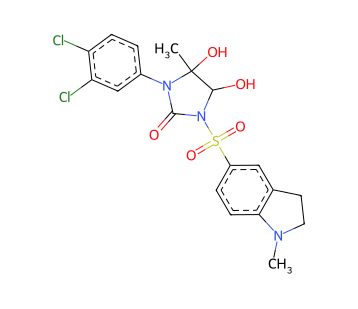 CN1CCc2cc(S(=O)(=O)N3C(=O)N(c4ccc(Cl)c(Cl)c4)C(C)(O)C3O)ccc21